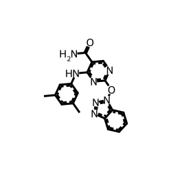 Cc1cc(C)cc(Nc2nc(On3nnc4ccccc43)ncc2C(N)=O)c1